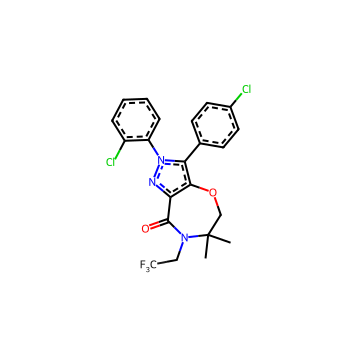 CC1(C)COc2c(nn(-c3ccccc3Cl)c2-c2ccc(Cl)cc2)C(=O)N1CC(F)(F)F